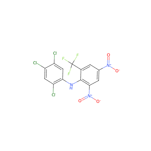 O=[N+]([O-])c1cc([N+](=O)[O-])c(Nc2cc(Cl)c(Cl)cc2Cl)c(C(F)(F)F)c1